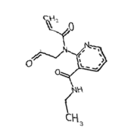 C=CC(=O)N(C[C]=O)c1ncccc1C(=O)NCC